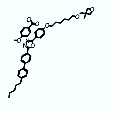 CCCCCc1ccc(-c2ccc(-c3nnc(-c4ccc(OCCCCCCOCC5(C)COC5)cc4)o3)cc2)cc1.COc1ccc(C(=O)Cl)cc1